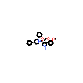 COc1cccc2c1OCC[C@]21CNC[C@H]1C(=O)N1CC[C@@H](c2ccccc2)C[C@H]1C1CCCCC1